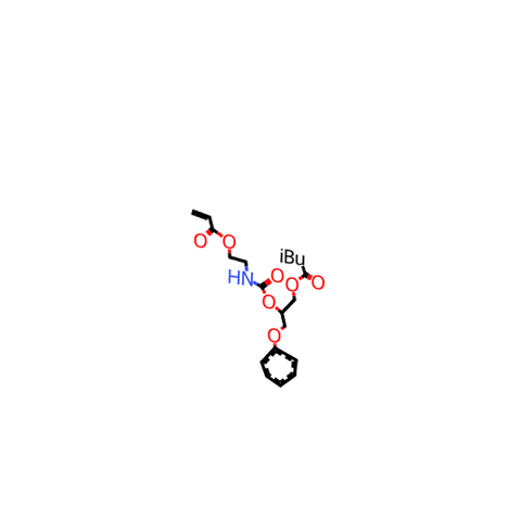 C=CC(=O)OCCNC(=O)OC(COC(=O)C(C)CC)COc1ccccc1